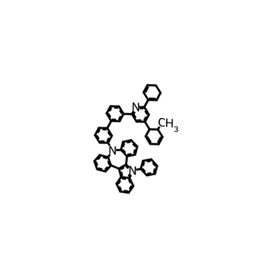 CC1C=CC=CC1c1cc(C2=CCCC=C2)nc(-c2cccc(-c3cccc(N4c5ccccc5-c5c(n(-c6ccccc6)c6ccccc56)-c5ccccc54)c3)c2)c1